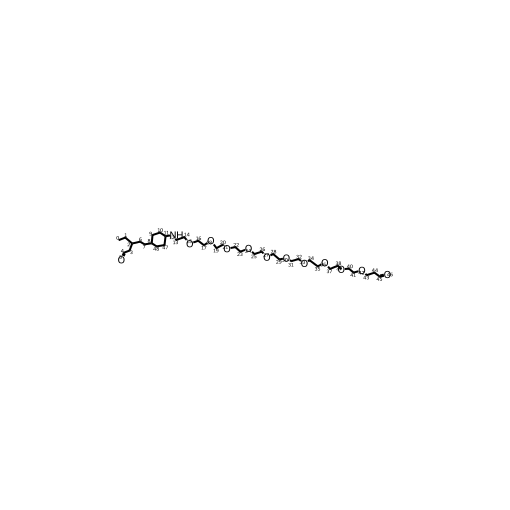 CCC(CC=O)CCC1CCC(NCCOCCOCCOCCOCCOCCOCCOCCOCCOCCOCCC=O)CC1